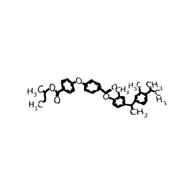 CCC(C)OC(=O)c1ccc(Oc2ccc(C(=O)Oc3ccc(C(C)c4ccc(C(C)C)c(C)c4)cc3C)cc2)cc1